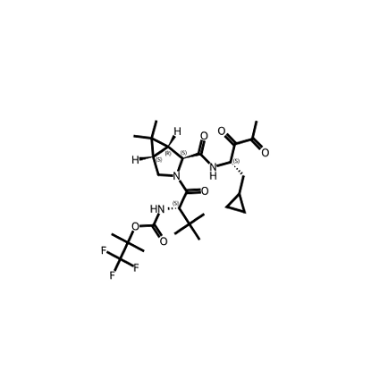 CC(=O)C(=O)[C@H](CC1CC1)NC(=O)[C@@H]1[C@@H]2[C@H](CN1C(=O)[C@@H](NC(=O)OC(C)(C)C(F)(F)F)C(C)(C)C)C2(C)C